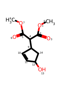 COC(=O)C(C(=O)OC)C1C=CC(O)C1